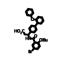 CC(C)COc1ccc(Br)cc1C(=O)NC(CC(=O)O)c1ccc(-c2ccccc2Oc2ccccc2)cc1